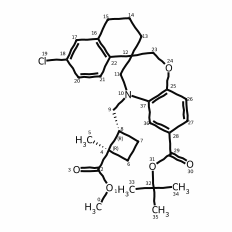 COC(=O)[C@]1(C)CC[C@H]1CN1CC2(CCCc3cc(Cl)ccc32)COc2ccc(C(=O)OC(C)(C)C)cc21